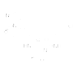 C[C@@H]1OCN(C(=O)Nc2ccc(Cl)cc2)[C@H]1C(=O)Nc1ccc(-n2ccncc2=O)cc1